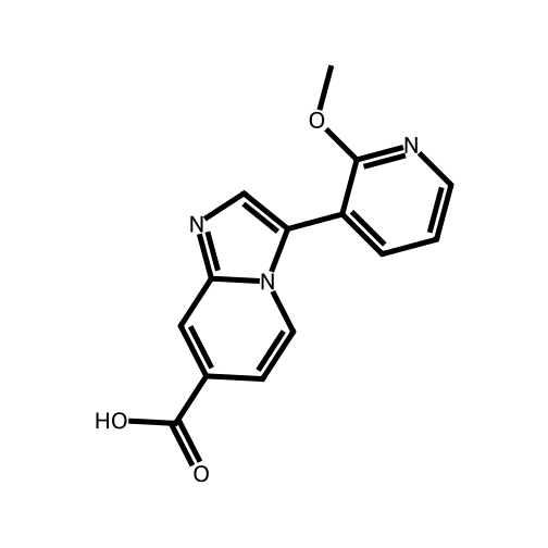 COc1ncccc1-c1cnc2cc(C(=O)O)ccn12